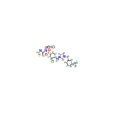 CN(c1ccc(S(=O)(=O)N(OC=O)c2cscn2)cc1Cl)[C@H]1CCN(Cc2cccc(C(F)F)c2)C1